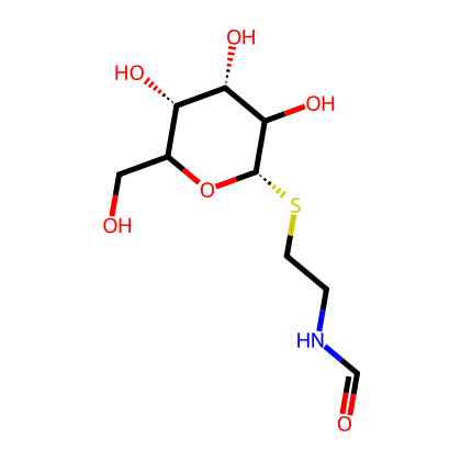 O=CNCCS[C@@H]1OC(CO)[C@H](O)[C@H](O)C1O